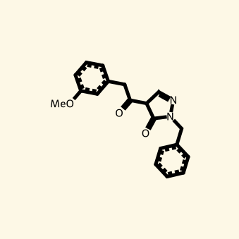 COc1cccc(CC(=O)C2[C]=NN(Cc3ccccc3)C2=O)c1